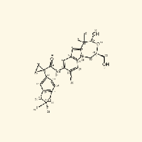 CC1(C)c2cc3cc(NC(=O)C4(c5ccc6c(c5)OC(F)(F)O6)CC4)c(F)cc3n2C[C@H](CO)OC1O